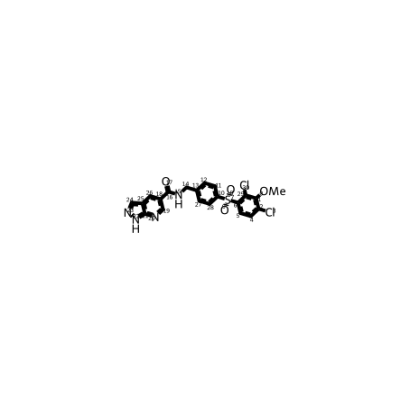 COc1c(Cl)ccc(S(=O)(=O)c2ccc(CNC(=O)c3cnc4[nH]ncc4c3)cc2)c1Cl